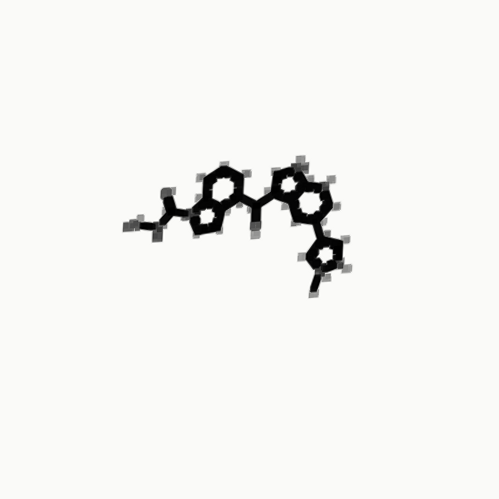 CCCNC(=O)n1ccc2c(C(=O)c3c[nH]c4ncc(-c5cnn(C)c5)cc34)cccc21